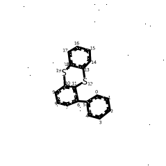 [c]1ccccc1-c1cccc2c1Sc1ccccc1S2